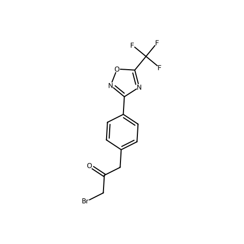 O=C(CBr)Cc1ccc(-c2noc(C(F)(F)F)n2)cc1